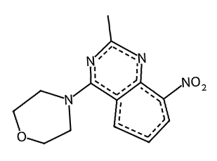 Cc1nc(N2CCOCC2)c2cccc([N+](=O)[O-])c2n1